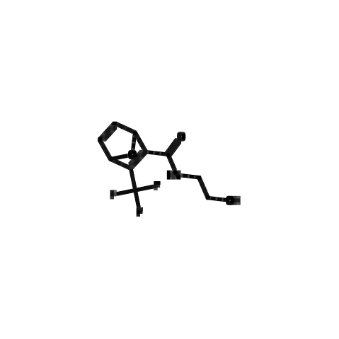 O=C(NCCO)C1=C(C(F)(F)F)C2C=CC1O2